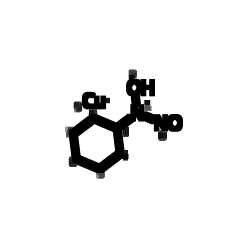 O=NN(O)C1CCCCC1.[Cu]